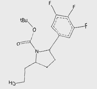 CC(C)(C)OC(=O)N1C(CCO)CCC1c1cc(F)c(F)c(F)c1